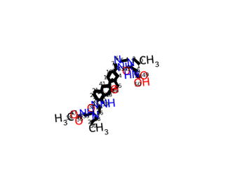 CCCN(Cc1ncc(-c2ccc3c(c2)COc2cc4c(ccc5nc(CN(CCC)C(=O)CNC(=O)OC)[nH]c54)cc2-3)[nH]1)C(=O)CNC(=O)O